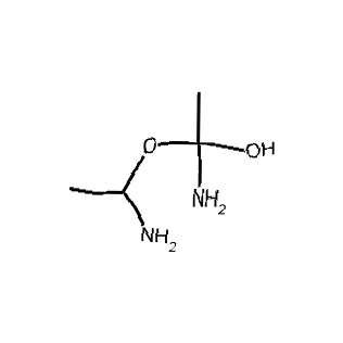 CC(N)OC(C)(N)O